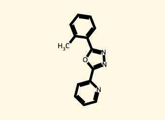 Cc1ccccc1-c1nnc(-c2ccccn2)o1